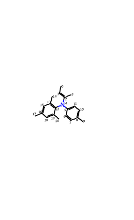 C/C=C(\C)N(c1ccc(C)cc1)c1c(C)cc(C)cc1C